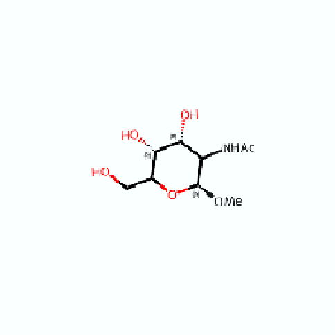 CO[C@H]1OC(CO)[C@H](O)[C@H](O)C1NC(C)=O